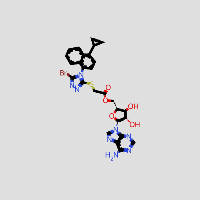 Nc1ncnc2c1ncn2[C@@H]1O[C@H](COC(=O)CSc2nnc(Br)n2-c2ccc(C3CC3)c3ccccc23)C(O)[C@@H]1O